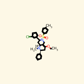 CCOC1=C2CN(S(=O)(=O)c3ccc(C)cc3)C(c3cccc(Cl)c3)C[C@@H]2N(C)[C@H](c2ccccc2)C1